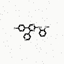 COc1ccccc1Nc1ncc(-c2ccc(F)cc2)c(-c2ccncc2)n1